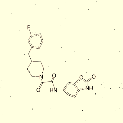 O=C(Nc1ccc2[nH]c(=O)oc2c1)C(=O)N1CCC(Cc2cccc(F)c2)CC1